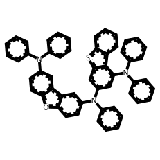 c1ccc(N(c2ccccc2)c2ccc3oc4ccc(N(c5ccccc5)c5cc(N(c6ccccc6)c6ccccc6)c6c(c5)sc5ccccc56)cc4c3c2)cc1